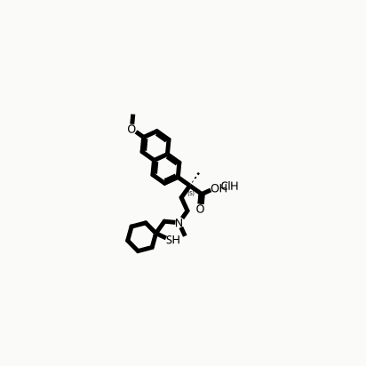 COc1ccc2cc([C@](C)(CCN(C)CC3(S)CCCCC3)C(=O)O)ccc2c1.Cl